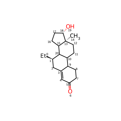 CC[C@@H]1CC2=CC(=O)CCC2C2CC[C@@]3(C)C(CC[C@@H]3O)C21